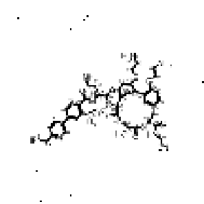 Cc1cc(-c2ccc(CC(C)C)nc2)ccc1C(=O)N[C@@H](CCN)C(=O)N(C)[C@@H]1C(=O)N[C@@H](C)C(=O)N[C@H](C(=O)NCC#N)Cc2ccc(OCCN)c(c2)-c2cc1ccc2OCCN